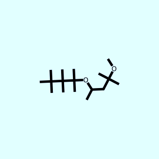 COC(C)(C)CC(C)OC(C)(C)C(C)(C)C(C)(C)C